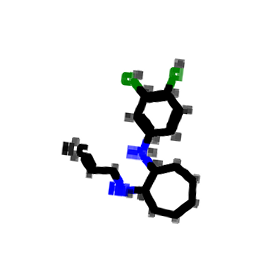 C=CCNC1CCCCCC1Nc1ccc(Cl)c(Cl)c1